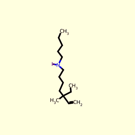 C=CC(C)(CC)CCCCN(I)CCCCC